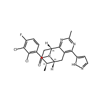 Cc1nc(-c2ccn[nH]2)c2c(n1)[C@H]1CC[C@H](C)[C@@H](C2)N1C(=O)c1ccc(F)c(Cl)c1Cl